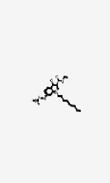 CCCCCCCCn1cc(C(=O)OCC)c(=O)c2ccc(N=NN(C)C)cc21